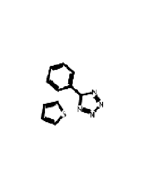 c1ccc(C2N=NN=N2)cc1.c1ccsc1